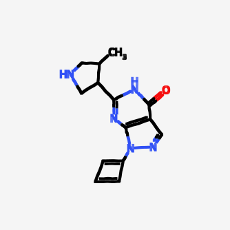 CC1CNCC1c1nc2c(cnn2C2=CC=C2)c(=O)[nH]1